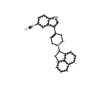 [C-]#[N+]c1ccc2[nH]cc(C3=CCN(C4Cc5cccc6cccc4c56)CC3)c2c1